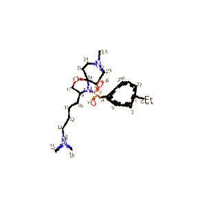 CCc1ccc(S(=O)(=O)N2C(CCCCN(C)C)COC23CCN(C)CC3)cc1